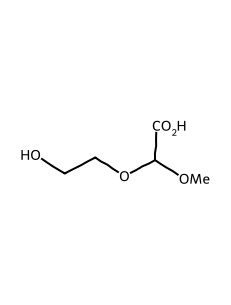 COC(OCCO)C(=O)O